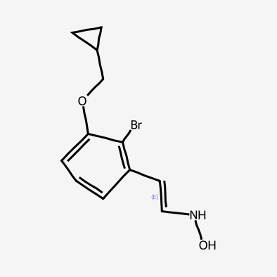 ON/C=C/c1cccc(OCC2CC2)c1Br